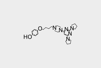 Oc1ccc(OCCCCN2CCN(c3cc(N4CCCC4)nc(N4CCCC4)n3)CC2)cc1